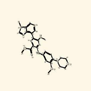 CNc1nc(Nc2ccc(N3CCOCC3)c(OC)c2)c(C(=O)OC)nc1-c1cncc2c1ncn2C